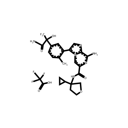 Cc1ccc(C(O)(C(N)=O)C(F)(F)F)cc1-c1cnc2c(N)nc(C(=O)NC3(C4CC4)CCOC3)cn12.O=C(O)C(F)(F)F